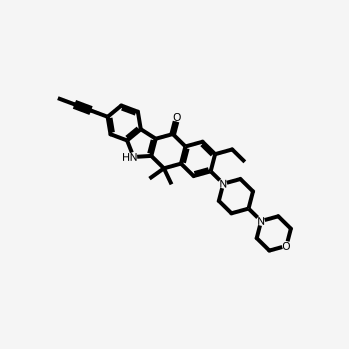 CC#Cc1ccc2c3c([nH]c2c1)C(C)(C)c1cc(N2CCC(N4CCOCC4)CC2)c(CC)cc1C3=O